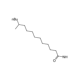 CCCCC(C)CCCCCCCCCC([NH])=O